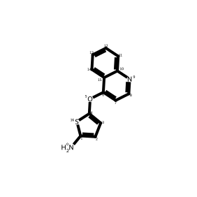 Nc1ccc(Oc2ccnc3ccccc23)s1